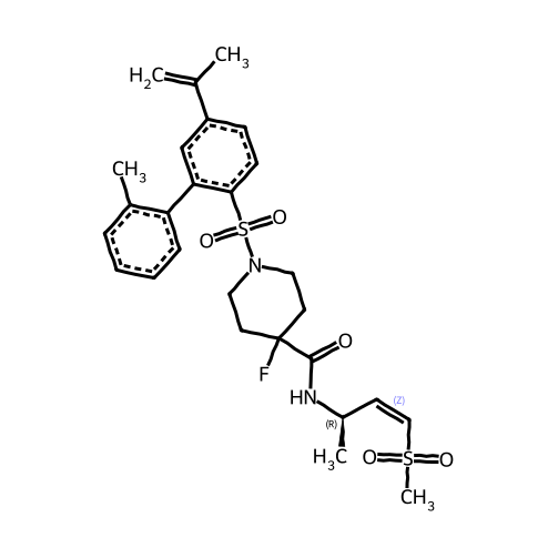 C=C(C)c1ccc(S(=O)(=O)N2CCC(F)(C(=O)N[C@H](C)/C=C\S(C)(=O)=O)CC2)c(-c2ccccc2C)c1